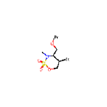 CCC1COS(=O)(=O)N(C)C1COC(C)C